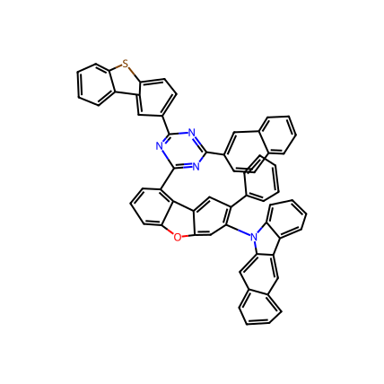 c1ccc(-c2cc3c(cc2-n2c4ccccc4c4cc5ccccc5cc42)oc2cccc(-c4nc(-c5ccc6ccccc6c5)nc(-c5ccc6sc7ccccc7c6c5)n4)c23)cc1